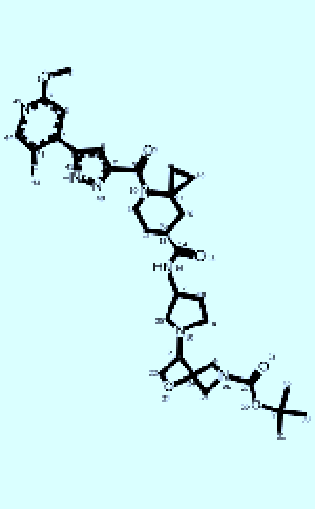 COc1cc(-c2cc(C(=O)N3CC[C@H](C(=O)NC4CCN(C5COC56CN(C(=O)OC(C)(C)C)C6)C4)CC34CC4)n[nH]2)c(F)cn1